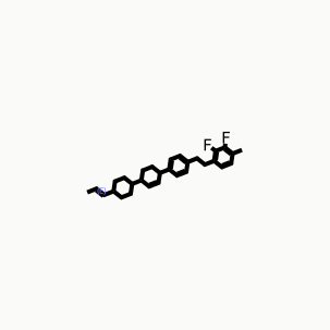 C/C=C/C1CCC(C2C=CC(c3ccc(CCc4ccc(C)c(F)c4F)cc3)CC2)CC1